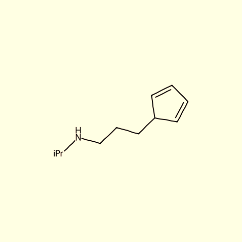 CC(C)NCCCC1C=CC=C1